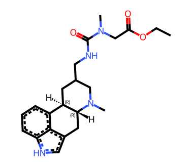 CCOC(=O)CN(C)C(=O)NCC1C[C@@H]2c3cccc4[nH]cc(c34)C[C@H]2N(C)C1